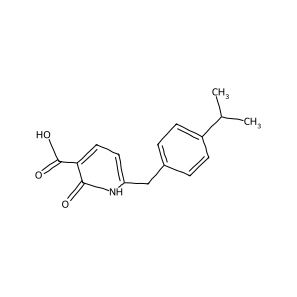 CC(C)c1ccc(Cc2ccc(C(=O)O)c(=O)[nH]2)cc1